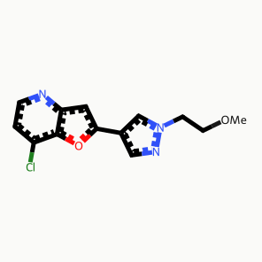 COCCn1cc(-c2cc3nccc(Cl)c3o2)cn1